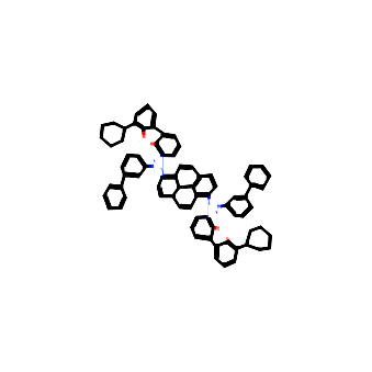 C1=Cc2ccc(N(c3cccc(-c4ccccc4)c3)c3cccc4c3oc3c(C5CCCCC5)cccc34)c3c2C2C1=C(N(c1cccc(-c4ccccc4)c1)c1cccc4c1oc1c(C5CCCCC5)cccc14)C=CC2C=C3